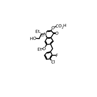 CCOc1cc2c(cc1Cc1cccc(Cl)c1F)c(=O)c(OC(=O)O)cn2[C@@H](CC)CO